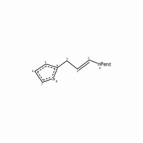 CCCCCC=CCc1cccs1